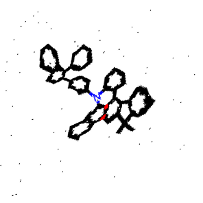 CC1(C)c2ccccc2-c2c(-c3ccccc3N(c3ccc(-c4ccc5ccccc5c4C4=CC=CCC4)cc3)c3ccc4ccccc4c3)cccc21